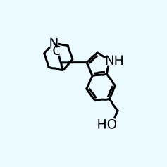 OCc1ccc2c(C3CN4CCC3CC4)c[nH]c2c1